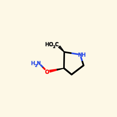 NO[C@@H]1CCN[C@@H]1C(=O)O